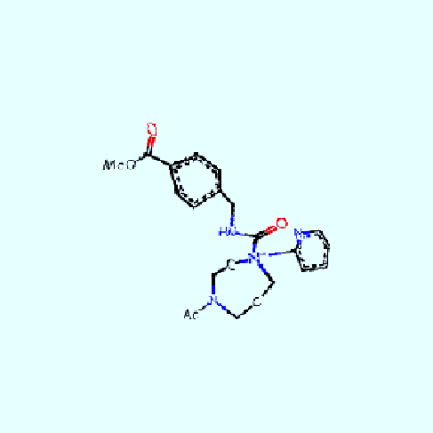 COC(=O)c1ccc(CNC(=O)[N+]2(c3ccccn3)CCCN(C(C)=O)CC2)cc1